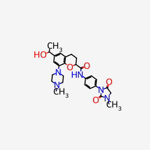 CC(O)c1cc2c(c(N3CCN(C)CC3)c1)OC(C(=O)Nc1ccc(N3C(=O)CN(C)C3=O)cc1)CC2